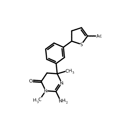 CC(=O)C1=CCC(c2cccc(C3(C)CC(=O)N(C)C(N)=N3)c2)S1